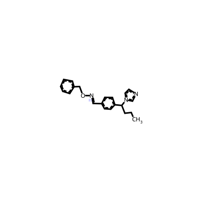 CCCC(c1ccc(/C=N/OCc2ccccc2)cc1)n1ccnc1